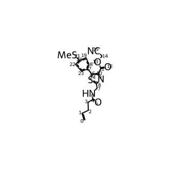 C=CCCC(=O)NCc1nc(C(=O)OCC#N)c(-c2ccc(SC)cc2)s1